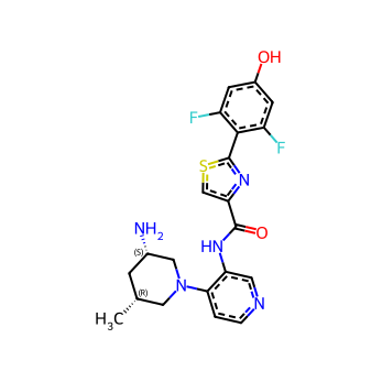 C[C@@H]1C[C@H](N)CN(c2ccncc2NC(=O)c2csc(-c3c(F)cc(O)cc3F)n2)C1